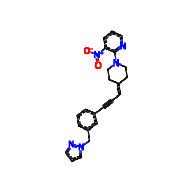 O=[N+]([O-])c1cccnc1N1CCC(=CC#Cc2cccc(Cn3cccn3)c2)CC1